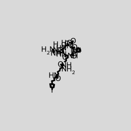 N=C(N)NCCC[C@@H]1NC(=O)[C@H](CCCCNC(=O)[C@@H](N)CCCCNC(=O)CCCc2ccc(I)cc2)NC(=O)[C@@H](Cc2ccccc2)NC(=O)[C@H](CC(=O)O)NC(=O)CNC1=O